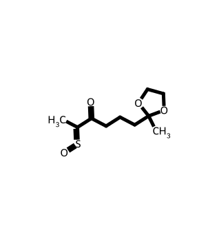 CC(=S=O)C(=O)CCCC1(C)OCCO1